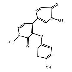 Cn1cc(-c2ccn(C)c(=O)c2Oc2ccc(O)cc2)ccc1=O